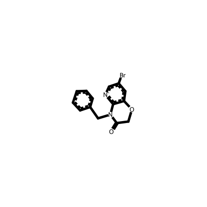 O=C1COc2cc(Br)cnc2N1Cc1ccccc1